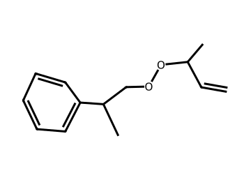 C=CC(C)OOCC(C)c1ccccc1